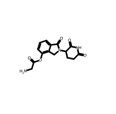 NCC(=O)Oc1cccc2c1CN(C1CCC(=O)NC1=O)C2=O